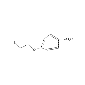 O=C(O)c1ccc(OCCI)cc1